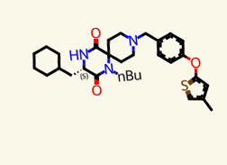 CCCCN1C(=O)[C@H](CC2CCCCC2)NC(=O)C12CCN(Cc1ccc(Oc3cc(C)cs3)cc1)CC2